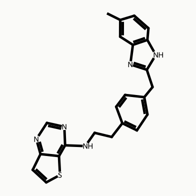 Cc1ccc2[nH]c(Cc3ccc(CCNc4ncnc5ccsc45)cc3)nc2c1